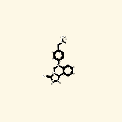 CNCc1ccc(N2CN3C(=O)N=NC3c3ccccc32)cc1